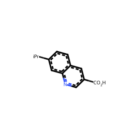 CC(C)c1ccc2cc(C(=O)O)cnc2c1